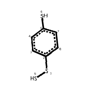 SSc1ccc(S)cc1